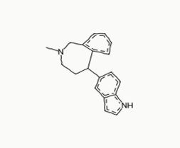 CN1CCC(c2ccc3[nH]ccc3c2)c2ccccc2C1